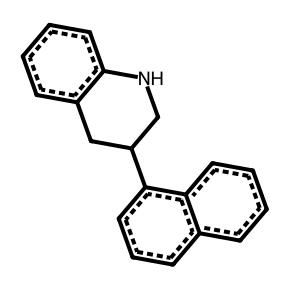 c1ccc2c(c1)CC(c1cccc3ccccc13)CN2